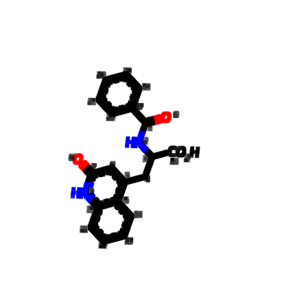 O=C(NC(Cc1cc(=O)[nH]c2ccccc12)C(=O)O)c1ccccc1